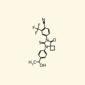 CC(O)c1ccc(N2C(=S)N(c3ccc(C#N)c(C(F)(F)F)c3)C(=O)C23CCC3)cc1